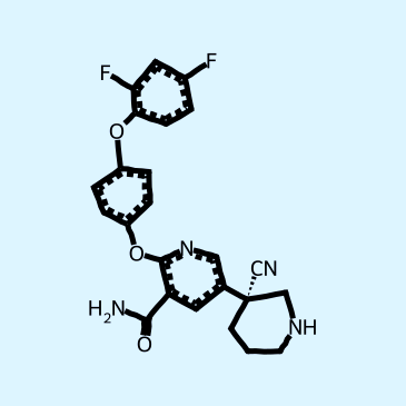 N#C[C@@]1(c2cnc(Oc3ccc(Oc4ccc(F)cc4F)cc3)c(C(N)=O)c2)CCCNC1